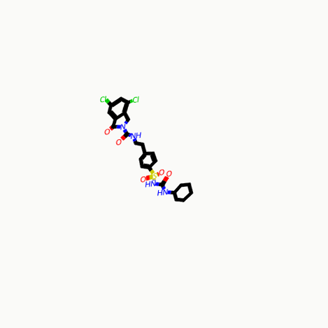 O=C(NC1CCCCC1)NS(=O)(=O)c1ccc(CCNC(=O)N2Cc3c(Cl)cc(Cl)cc3C2=O)cc1